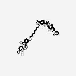 Cc1nn(CCCCCCCCOc2ccc3c(c2)C(=O)N(C2CCC(=O)NC2=O)C3=O)c2cc(C(=O)Nc3cc4[nH]c([C@H]5CCCN5C)cc4cn3)ccc12